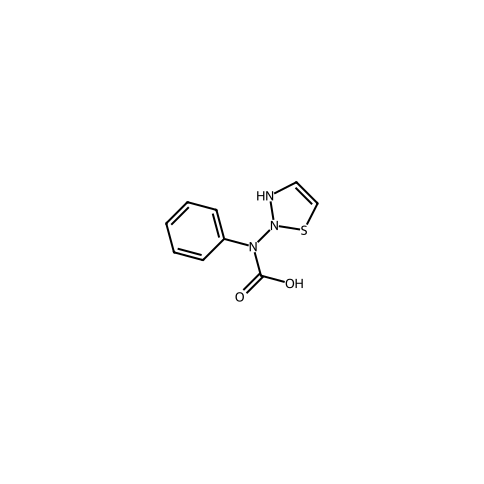 O=C(O)N(c1ccccc1)N1NC=CS1